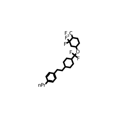 CCCc1ccc(CCC2CCC(C(F)(F)OC3CCC(C(F)(F)F)C(F)(F)C3)CC2)cc1